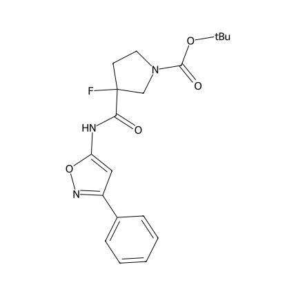 CC(C)(C)OC(=O)N1CCC(F)(C(=O)Nc2cc(-c3ccccc3)no2)C1